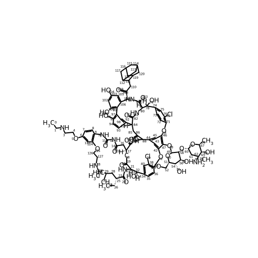 CCNCCOc1ccc(NC(=O)NC(=O)C[C@@H]2CC(=O)[C@H](NC(=O)[C@H](CC)CC(C)C)[C@H](O)c3ccc(c(Cl)c3)Oc3cc4cc(c3O[C@@H]3O[C@H](CO)[C@@H](O)[C@H](O)[C@H]3O[C@H]3C[C@](C)(N)[C@H](O)[C@H](C)O3)Oc3ccc(cc3Cl)[C@@H](O)[C@@H]3NC(=O)[C@H](CC(=O)[C@@H]4NC2=O)c2ccc(O)c(c2)-c2c(O)cc(O)cc2[C@@H](C(=O)CC2C4CC5CC(C4)CC2C5)NC3=O)c(OCCNCC)c1